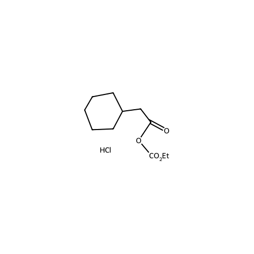 CCOC(=O)OC(=O)CC1CCCCC1.Cl